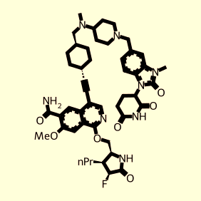 CCC[C@@H]1[C@H](F)C(=O)N[C@@H]1COc1ncc(C#C[C@H]2CC[C@H](CN(C)C3CCN(Cc4ccc5c(c4)n(C)c(=O)n5C4CCC(=O)NC4=O)CC3)CC2)c2cc(C(N)=O)c(OC)cc12